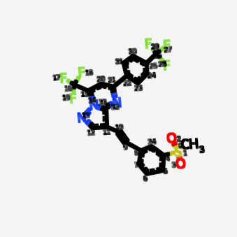 CS(=O)(=O)c1cccc(C#Cc2cnn3c(C(F)(F)F)cc(-c4ccc(C(F)(F)F)cc4)nc23)c1